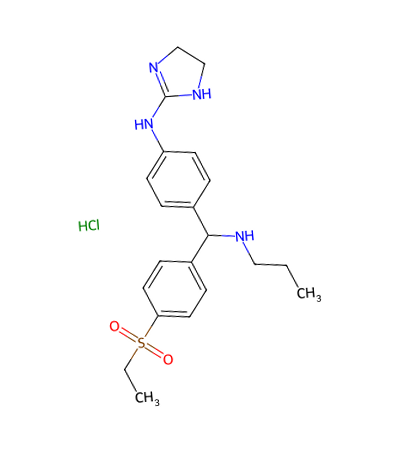 CCCNC(c1ccc(NC2=NCCN2)cc1)c1ccc(S(=O)(=O)CC)cc1.Cl